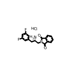 Cl.N[C@@H](Cc1cc(F)cc(F)c1)CN1C(=O)c2ccccc2C1=O